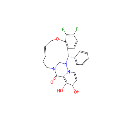 O=C1C2=C(O)C(O)C=CN2N2CN1CC/C=C/COc1c(ccc(F)c1F)[C@@H]2c1ccccc1